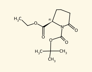 CCOC(=O)[C@H]1CCCC(=O)N1C(=O)OC(C)(C)C